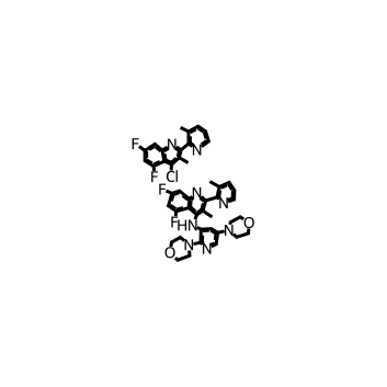 Cc1cccnc1-c1nc2cc(F)cc(F)c2c(Cl)c1C.Cc1cccnc1-c1nc2cc(F)cc(F)c2c(Nc2cc(N3CCOCC3)cnc2N2CCOCC2)c1C